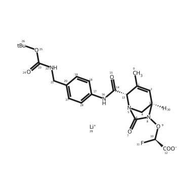 CC1=C[C@@H]2CN(C(=O)N2O[C@H](F)C(=O)[O-])[C@@H]1C(=O)Nc1ccc(CNC(=O)OC(C)(C)C)cc1.[Li+]